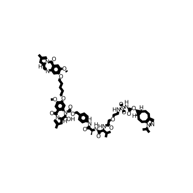 COc1cc2c(cc1OCCCCCOc1cc3c(cc1OC)C(=O)N1C=C(C)C[C@H]1[C@H](O)N3C(=O)OCc1ccc(NC(=O)[C@H](C)NC(=O)[C@@H](NC(=O)COCCNS(=O)(=O)NC(=O)O[C@@H]3[C@@H]4CCc5cnn(C(C)C)c5CC[C@@H]43)C(C)C)cc1)N=C[C@@H]1CC(C)=CN1C2=O